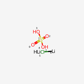 O=S(=O)(O)O.[LiH].[Li][Cl]